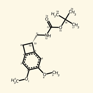 COc1cc2c(cc1OC)[C@@H](CNC(=O)OC(C)(C)C)C2